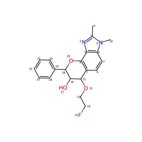 Cc1nc2c3c(ccc2n1C)C(OCCF)C(O)C(c1ccccc1)O3